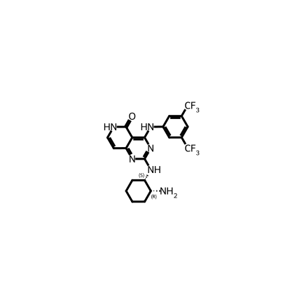 N[C@@H]1CCCC[C@@H]1Nc1nc(Nc2cc(C(F)(F)F)cc(C(F)(F)F)c2)c2c(=O)[nH]ccc2n1